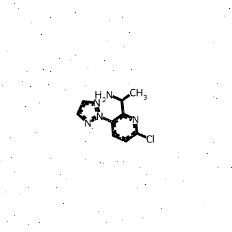 CC(N)c1nc(Cl)ccc1-n1nccn1